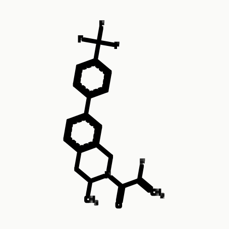 C=C(F)C(=O)N1Cc2cc(-c3ccc(C(F)(F)F)cc3)ccc2CC1C